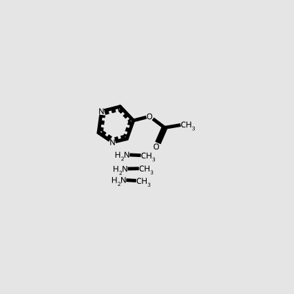 CC(=O)Oc1cncnc1.CN.CN.CN